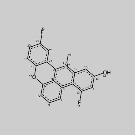 C[n+]1c2c3c(cccc3c3c(F)cc(O)cc31)Oc1ccc(F)cc1-2